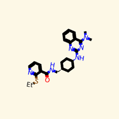 CCSc1ncccc1C(=O)NC[C@H]1CC[C@@H](Nc2nc(N(C)C)c3ccccc3n2)CC1